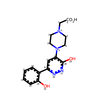 O=C(O)CN1CCN(c2cc(-c3ccccc3O)nnc2O)CC1